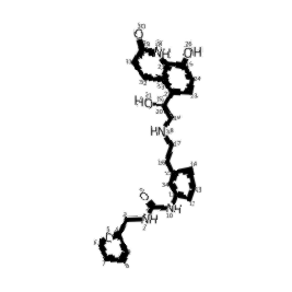 O=C(NCc1ccccc1)Nc1cccc(CCNC[C@@H](O)c2ccc(O)c3[nH]c(=O)ccc23)c1